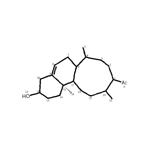 CC(=O)C1CCC(C)C2CC=C3CC(O)CC[C@]3(C)C2CCC1C